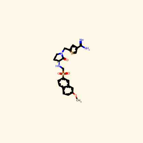 COc1ccc2ccc(S(=O)(=O)CN[C@H]3CCN(Cc4cc(C(=N)N)cs4)C3=O)cc2c1